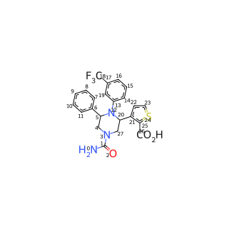 NC(=O)N1CC(c2ccccc2)N(c2cccc(C(F)(F)F)c2)C(c2ccsc2C(=O)O)C1